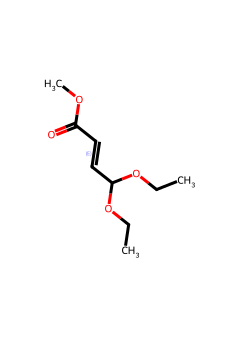 CCOC(/C=C/C(=O)OC)OCC